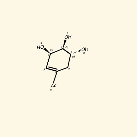 CC(=O)C1=C[C@@H](O)[C@@H](O)[C@H](O)C1